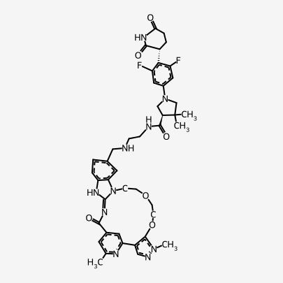 Cc1cc2cc(n1)-c1cnn(C)c1OCCOCCN1/C(=N/C2=O)Nc2ccc(CNCCNC(=O)[C@H]3CN(c4cc(F)c([C@H]5CCC(=O)NC5=O)c(F)c4)CC3(C)C)cc21